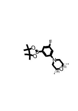 C[C@@H]1CN(c2cc(F)cc(B3OC(C)(C)C(C)(C)O3)c2)C[C@H](C)O1